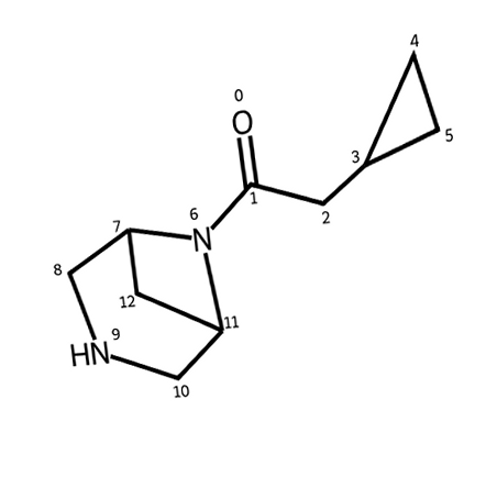 O=C(CC1CC1)N1C2CNCC1C2